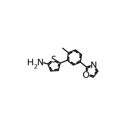 Cc1ccc(-c2ncco2)cc1-c1ccc(N)s1